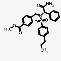 CCCc1ccc(S(=O)(=O)N(Cc2ccc(C(=O)OC)cc2)[C@@H](C(N)=O)c2ccccc2)cc1